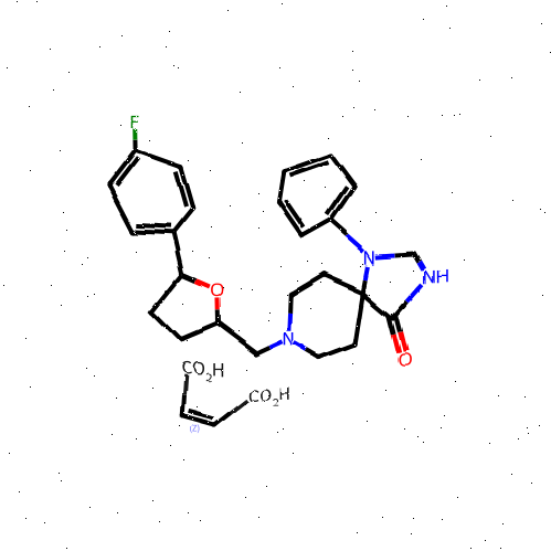 O=C(O)/C=C\C(=O)O.O=C1NCN(c2ccccc2)C12CCN(CC1CCC(c3ccc(F)cc3)O1)CC2